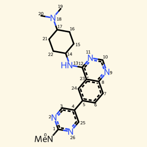 CNc1ncc(-c2ccc3ncnc(NC4CCC(N(C)C)CC4)c3c2)cn1